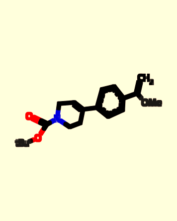 C=C(OC)c1ccc(C2=CCN(C(=O)OC(C)(C)C)CC2)cc1